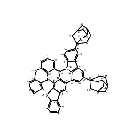 c1ccc2c(c1)Sc1cccc3c1N2c1c2c(cc4c1sc1ccccc14)-c1cc(C45CCC6CC(CC6C4)C5)cc4c5cc(C67CCC8CC(CC8C6)C7)ccc5n(c14)B32